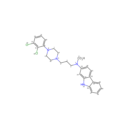 O=C(O)N(CCCN1CCN(c2cccc(Cl)c2Cl)CC1)c1ccc2c(c1)[nH]c1ccccc12